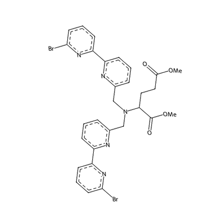 COC(=O)CCC(C(=O)OC)N(Cc1cccc(-c2cccc(Br)n2)n1)Cc1cccc(-c2cccc(Br)n2)n1